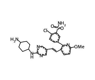 COc1ccc(/C=C/c2cnc(NC3CCC(N)CC3)nc2)c(-c2ccc(Cl)c(S(N)(=O)=O)c2)n1